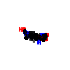 Cc1nn2c(N3CCN(CCO)CC3)cc(-c3ccccc3)nc2c1-c1cccc(CCCC(C)(C)CCC(C)(C)CCNC(=O)COc2cccc3c2CN(C2CCC(=O)NC2=O)C3=O)c1